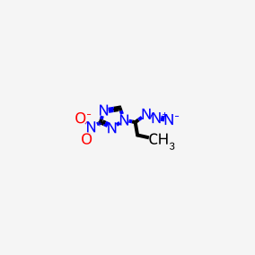 CCC(N=[N+]=[N-])n1cnc([N+](=O)[O-])n1